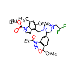 CCC(=O)Nc1cc(C2CN(CC(F)F)CCN2Cc2c(OC)cc(C)c3c2ccn3C(=O)OC(C)(C)C)ccc1C(=O)OC